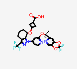 C[C@H](Oc1cc(-n2nc(C(F)(F)F)c3c2C(OC24CC(C(=O)O)(C2)C4)CCC3)ccn1)c1cc2c(cn1)OC(F)(F)O2